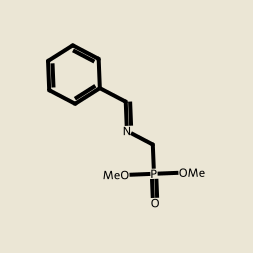 COP(=O)(C/N=C/c1ccccc1)OC